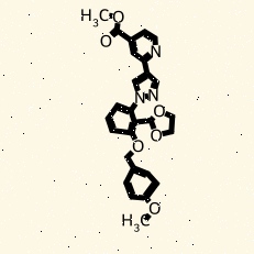 COC(=O)c1ccnc(-c2cnn(-c3cccc(OCc4ccc(OC)cc4)c3C3OCCO3)c2)c1